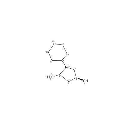 CC1C[C@H](O)CN1C1CCOCC1